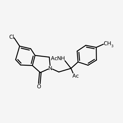 CC(=O)NC(CN1Cc2cc(Cl)ccc2C1=O)(C(C)=O)c1ccc(C)cc1